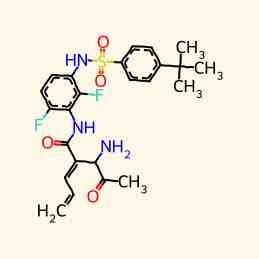 C=C/C=C(/C(=O)Nc1c(F)ccc(NS(=O)(=O)c2ccc(C(C)(C)C)cc2)c1F)C(N)C(C)=O